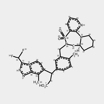 Cc1ccc(C(CC(=O)O)c2ccn3c(C(F)F)nnc3c2C)cc1CN1C[C@@H]2CCCCN2c2ncccc2S1(=O)=O